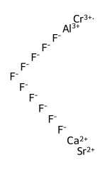 [Al+3].[Ca+2].[Cr+3].[F-].[F-].[F-].[F-].[F-].[F-].[F-].[F-].[F-].[F-].[Sr+2]